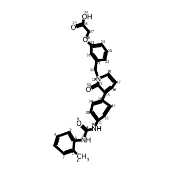 Cc1ccccc1NC(=O)Nc1ccc(-c2cccn(Cc3cccc(OCC(=O)O)c3)c2=O)cc1